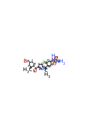 Cc1cc(Br)ccc1C(=O)c1ccc(C(C)c2ccc(NS(N)(=O)=O)cc2F)[nH]1